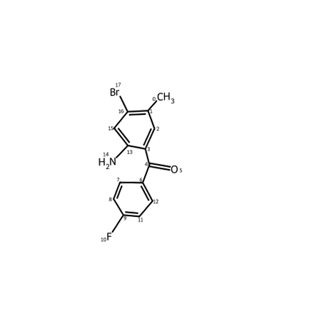 Cc1cc(C(=O)c2ccc(F)cc2)c(N)cc1Br